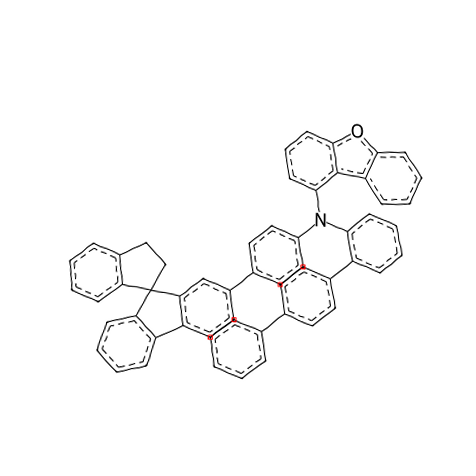 c1ccc(-c2ccc(-c3ccccc3N(c3ccc(-c4ccc5c(c4)C4(CCc6ccccc64)c4ccccc4-5)cc3)c3cccc4oc5ccccc5c34)cc2)cc1